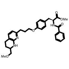 COCC1CCc2ccc(CCCOc3ccc(C[C@H](NC(=O)c4ccccc4)C(=O)OC)cc3)nc2N1